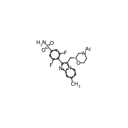 CC(=O)N1CCO[C@@H](Cc2c(-c3c(F)cc(S(N)(=O)=O)cc3F)nc3cc(C)ccn23)C1